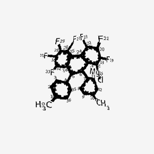 Cc1ccc(-c2c(-c3ccc(C)cc3)c3[c]([Mg][Cl])c(F)c(F)c(F)c3c3c(F)c(F)c(F)c(F)c23)cc1